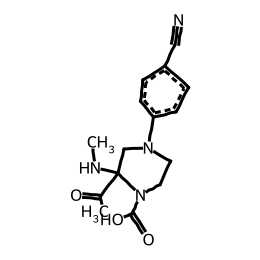 CNC1(C(C)=O)CN(c2ccc(C#N)cc2)CCN1C(=O)O